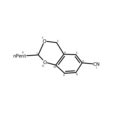 CCCCCC1OCc2cc(C#N)ccc2O1